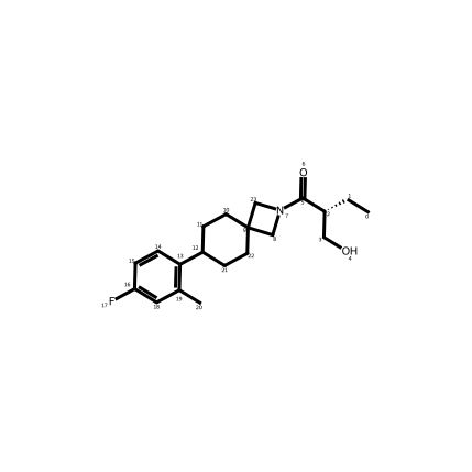 CC[C@H](CO)C(=O)N1CC2(CCC(c3ccc(F)cc3C)CC2)C1